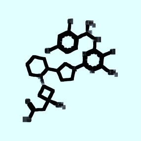 Cc1nc(N2CCC(C3CCCCN3[C@H]3C[C@@](C)(CC(=O)O)C3)C2)nc(N[C@H](C)c2ccc(Cl)cc2Cl)c1Cl